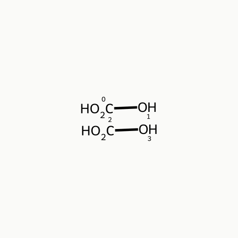 O=C(O)O.O=C(O)O